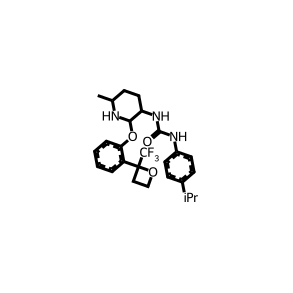 CC1CCC(NC(=O)Nc2ccc(C(C)C)cc2)C(Oc2ccccc2C2(C(F)(F)F)CCO2)N1